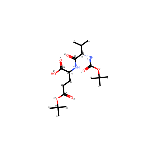 CC(C)[C@H](NC(=O)OC(C)(C)C)C(=O)N[C@@H](CCC(=O)OC(C)(C)C)C(=O)O